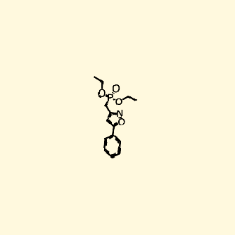 CCOP(=O)(Cc1cc(-c2ccccc2)on1)OCC